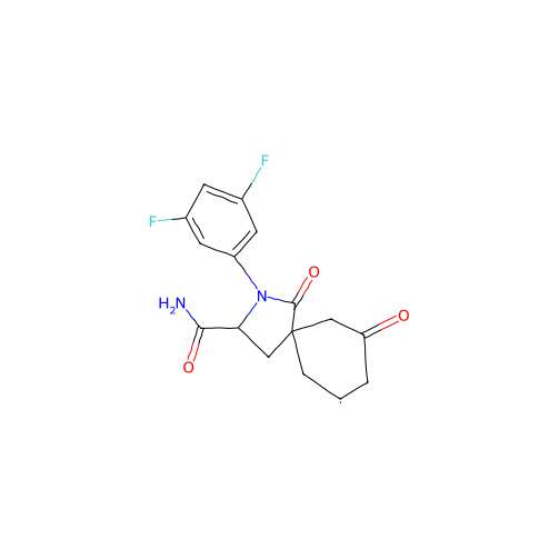 NC(=O)C1CC2(C[CH]CC(=O)C2)C(=O)N1c1cc(F)cc(F)c1